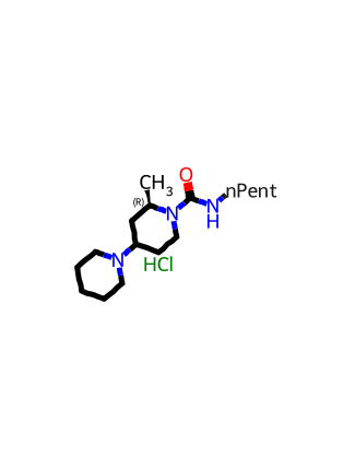 CCCCCNC(=O)N1CCC(N2CCCCC2)C[C@H]1C.Cl